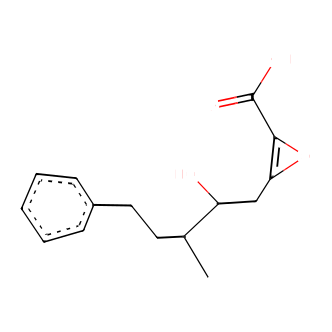 CC(CCc1ccccc1)C(O)CC1=C(C(=O)O)O1